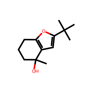 CC(C)(C)c1cc2c(o1)CCCC2(C)O